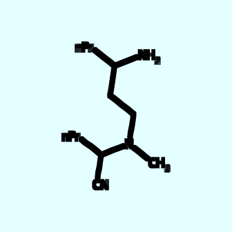 CCCC(N)CCN(C)C(C#N)CCC